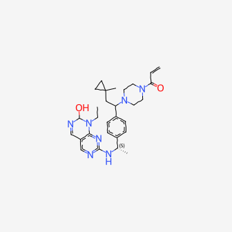 C=CC(=O)N1CCN(C(CC2(C)CC2)c2ccc([C@H](C)Nc3ncc4c(n3)N(CC)C(O)N=C4)cc2)CC1